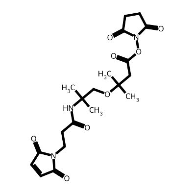 CC(C)(COC(C)(C)CC(=O)ON1C(=O)CCC1=O)NC(=O)CCN1C(=O)C=CC1=O